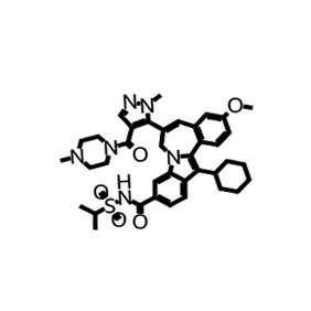 COc1ccc2c(c1)C=C(c1c(C(=O)N3CCN(C)CC3)cnn1C)Cn1c-2c(C2CCCCC2)c2ccc(C(=O)NS(=O)(=O)C(C)C)cc21